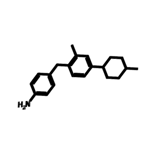 Cc1cc(C2CCC(C)CC2)ccc1Cc1ccc(N)cc1